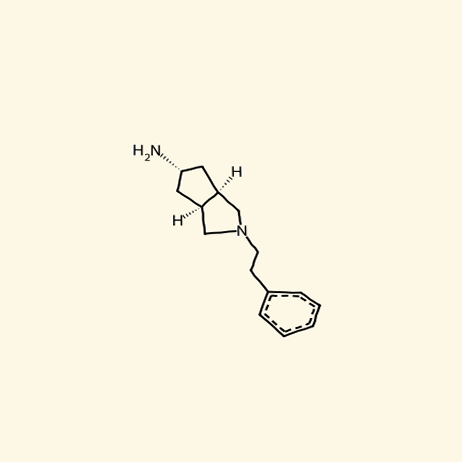 N[C@H]1C[C@@H]2CN(CCc3ccccc3)C[C@@H]2C1